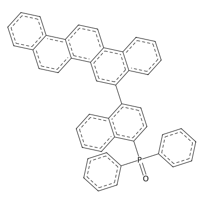 O=P(c1ccccc1)(c1ccccc1)c1ccc(-c2cc3c(ccc4c5ccccc5ccc43)c3ccccc23)c2ccccc12